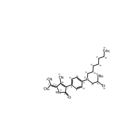 [C-]#[N+]/C(C#N)=C1\NC(=O)C(c2ccc(N(CCCCCCOC(C)=O)CC(CC)CCCC)cc2)=C1C#N